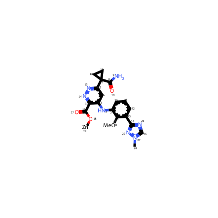 COc1c(Nc2cc(C3(C(N)=O)CC3)nnc2C(=O)[O][Zn])cccc1-c1ncn(C)n1